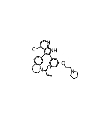 C=CC(=O)N1CCCc2ccc(-c3c(-c4cccc(OCCN5CCCC5)c4)[nH]c4nccc(Cl)c34)cc21